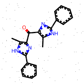 Cc1[nH]c(-c2ccccc2)nc1C(=O)c1nc(-c2ccccc2)[nH]c1C